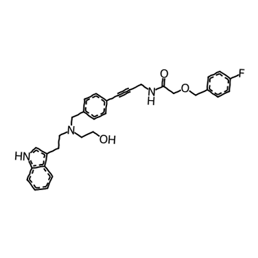 O=C(COCc1ccc(F)cc1)NCC#Cc1ccc(CN(CCO)CCc2c[nH]c3ccccc23)cc1